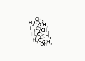 CC(C)CC(C)CC(C)CC(C)CC(C)CC(C)CC(C)CC(C)CO